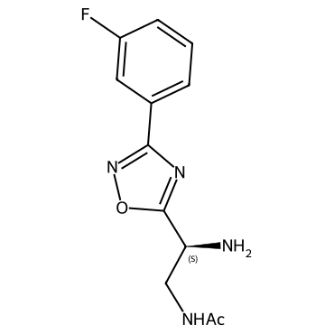 CC(=O)NC[C@H](N)c1nc(-c2cccc(F)c2)no1